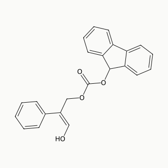 O=C(OCC(=CO)c1ccccc1)OC1c2ccccc2-c2ccccc21